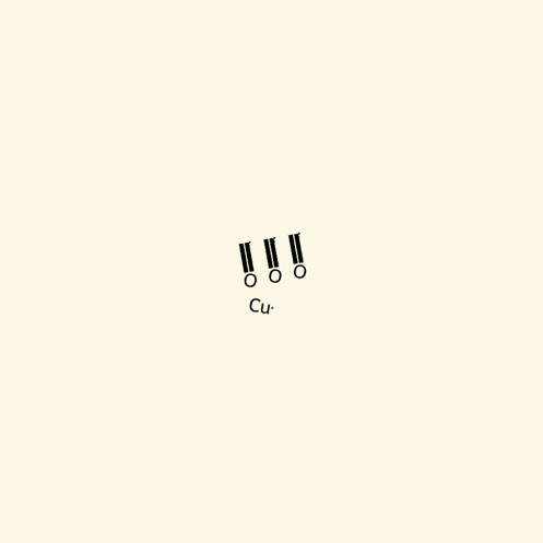 [C]=O.[C]=O.[C]=O.[Cu]